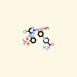 CC(C)Oc1cc(N2CCC(C(N)=O)CC2)ccc1Nc1ncc(Cl)c(Nc2ccccc2S(=O)(=O)N(C)C)n1